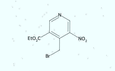 CCOC(=O)c1cncc([N+](=O)[O-])c1CBr